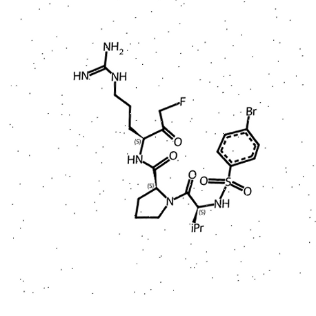 CC(C)[C@H](NS(=O)(=O)c1ccc(Br)cc1)C(=O)N1CCC[C@H]1C(=O)N[C@@H](CCCNC(=N)N)C(=O)CF